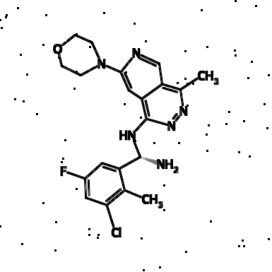 Cc1c(Cl)cc(F)cc1[C@@H](N)Nc1nnc(C)c2cnc(N3CCOCC3)cc12